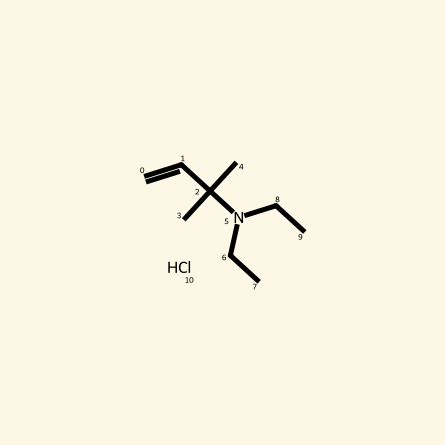 C=CC(C)(C)N(CC)CC.Cl